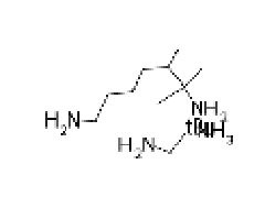 CC(C)(C)CN.CC(CCCCN)C(C)(C)N.N